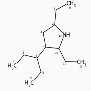 CCC1CC(C(CC)CC)C(CC)N1